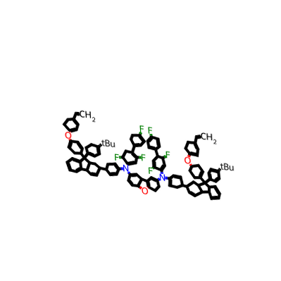 C=CC1=CC=C(OC2=CCC(C3(C4=CC=C(C(C)(C)C)CC4)c4ccccc4C4C=CC(C5C=CC(N(C6=CC7C8=C(CCC(N(C9=CCC(C%10C=CC%11C%12C=CC=CC%12C(C%12=CCC(OC%13=CC=C(C=C)CC%13)CC%12)(c%12ccc(C(C)(C)C)cc%12)C%11C%10)C=C9)C9=CC(F)C(c%10ccc(F)cc%10)C=C9F)=C8)OC7C=C6)C6=CC(F)=C(C7=CC=C(F)CC7)CC6F)=CC5)CC43)C=C2)CC1